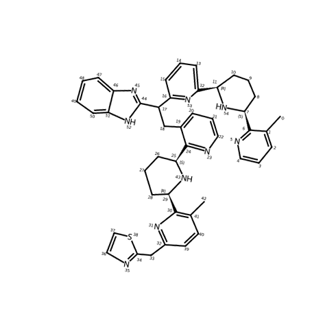 Cc1cccnc1[C@@H]1CCC[C@H](c2cccc(C(Cc3cccnc3[C@@H]3CCC[C@H](c4nc(Cc5nccs5)ccc4C)N3)c3nc4ccccc4[nH]3)n2)N1